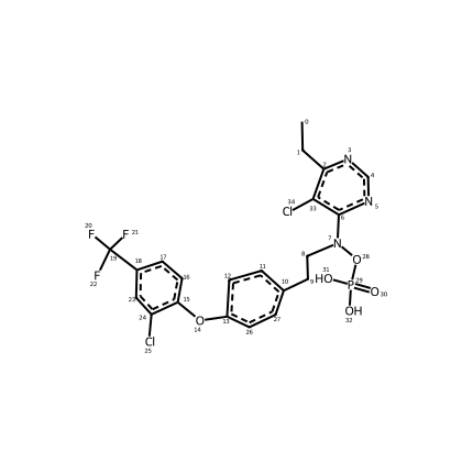 CCc1ncnc(N(CCc2ccc(Oc3ccc(C(F)(F)F)cc3Cl)cc2)OP(=O)(O)O)c1Cl